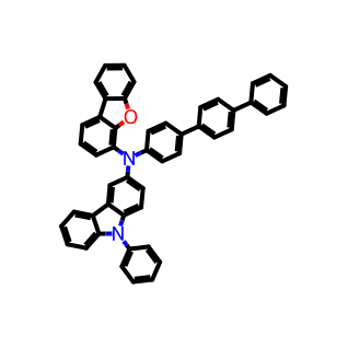 c1ccc(-c2ccc(-c3ccc(N(c4ccc5c(c4)c4ccccc4n5-c4ccccc4)c4cccc5c4oc4ccccc45)cc3)cc2)cc1